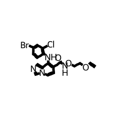 C=COCCONC(=O)c1ccn2cncc2c1Nc1ccc(Br)cc1Cl